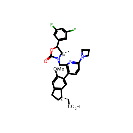 COc1cc2c(cc1-c1ccc(N3CCC3)nc1CN1C(=O)OC(c3cc(F)cc(F)c3)[C@@H]1C)[C@H](CC(=O)O)CC2